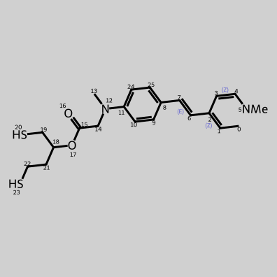 C/C=C(\C=C/NC)/C=C/c1ccc(N(C)CC(=O)OC(CS)CCS)cc1